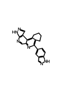 c1cc2[nH]ncc2cc1-c1nc2cnc3[nH]ncc3c2c2c1CCCC2